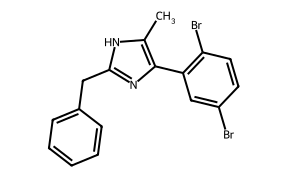 Cc1[nH]c(Cc2ccccc2)nc1-c1cc(Br)ccc1Br